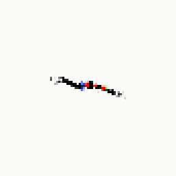 CCCCCCCCCc1cnc(-c2ccc(OCCC(F)CCC(F)CCCC)cc2)nc1